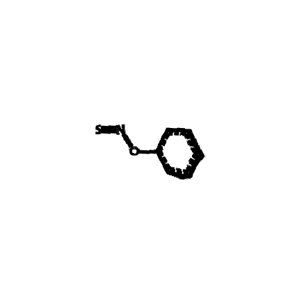 S=NOc1ccccc1